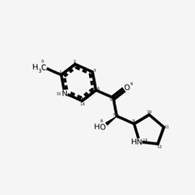 Cc1ccc(C(=O)[C@H](O)C2CCCN2)cn1